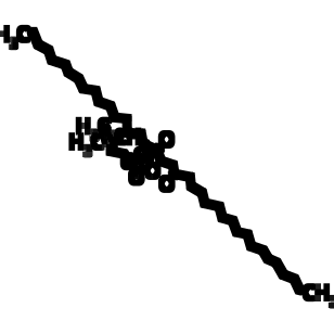 CCCCCCCCCCCCCCCCCC(=O)CC(OP(=O)(O)OCC[N+](C)(C)C)C(=O)CCCCCCCCCCCCCCCCC